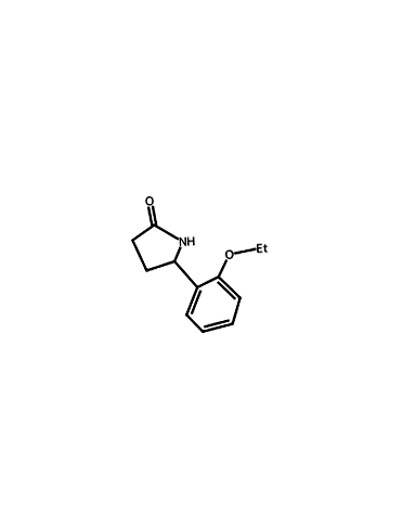 CCOc1ccccc1C1CCC(=O)N1